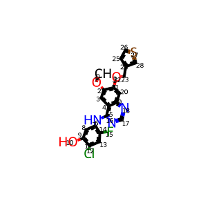 COc1cc2c(Nc3cc(O)c(Cl)cc3F)ncnc2cc1OCc1ccsc1